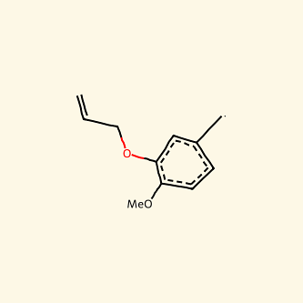 [CH2]c1ccc(OC)c(OCC=C)c1